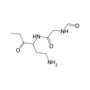 CCC(=O)C(CCN)NC(=O)CNC=O